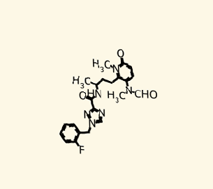 CC(CCc1c(N(C)C=O)ccc(=O)n1C)NC(=O)c1ncn(Cc2ccccc2F)n1